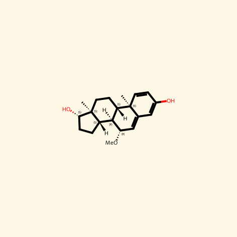 CO[C@H]1C=C2C=C(O)C=C[C@]2(C)[C@H]2CC[C@]3(C)[C@@H](O)CC[C@H]3[C@H]12